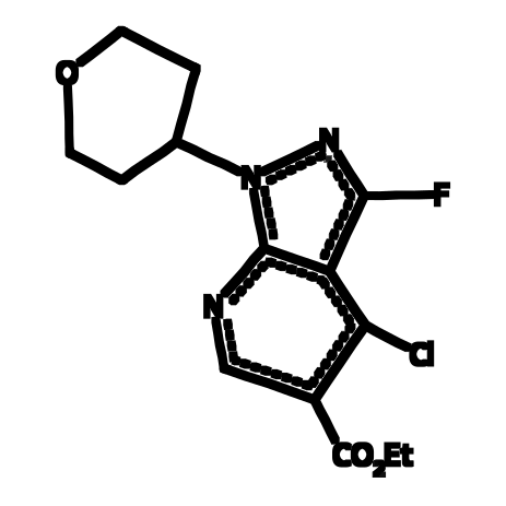 CCOC(=O)c1cnc2c(c(F)nn2C2CCOCC2)c1Cl